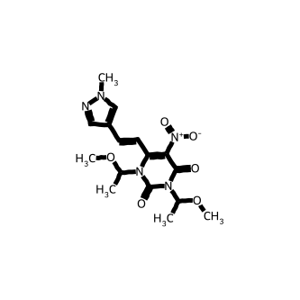 COC(C)n1c(/C=C/c2cnn(C)c2)c([N+](=O)[O-])c(=O)n(C(C)OC)c1=O